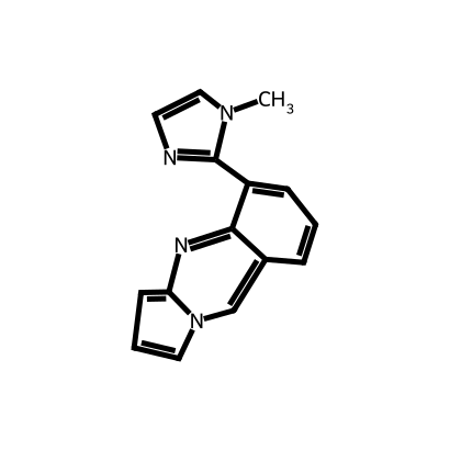 Cn1ccnc1-c1cccc2cn3cccc3nc12